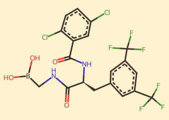 O=C(N[C@@H](Cc1cc(C(F)(F)F)cc(C(F)(F)F)c1)C(=O)NCB(O)O)c1cc(Cl)ccc1Cl